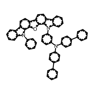 c1ccc(-c2ccc(N(c3ccc(-c4ccccc4)cc3)c3cccc(-n4c5ccccc5c5ccc6c7ccc8c9ccccc9n(-c9ccccc9)c8c7oc6c54)c3)cc2)cc1